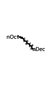 [CH2]CCCCCCCC#CCCCCCCCCCCCCCCCCC[CH2]